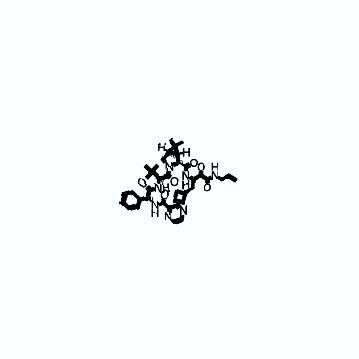 C=CCNC(=O)C(=O)C(CC1CCC1)NC(=O)[C@@H]1[C@@H]2[C@H](CN1C(=O)[C@@H](NC(=O)[C@@H](NC(=O)c1cnccn1)C1C=CC=CC1)C(C)(C)C)C2(C)C